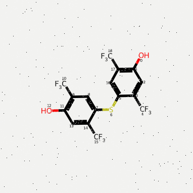 Oc1cc(C(F)(F)F)c(Sc2cc(C(F)(F)F)c(O)cc2C(F)(F)F)cc1C(F)(F)F